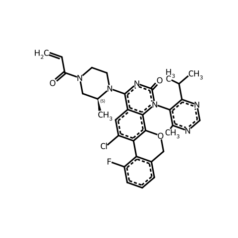 C=CC(=O)N1CCN(c2nc(=O)n(-c3c(C)ncnc3C(C)C)c3c4c(c(Cl)cc23)-c2c(F)cccc2CO4)[C@@H](C)C1